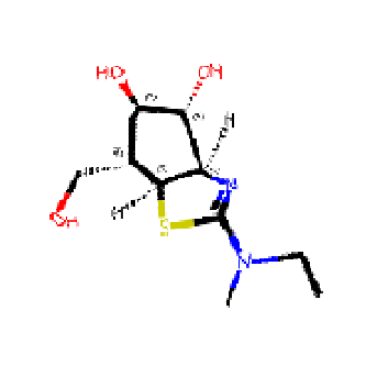 CCN(C)C1=N[C@@H]2[C@@H](O)[C@H](O)[C@@H](CO)[C@@H]2S1